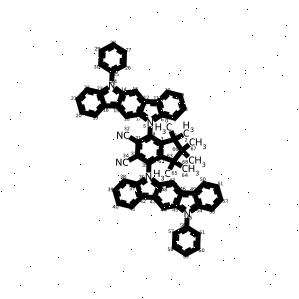 CC1(C)c2c(-n3c4ccccc4c4cc5c(cc43)c3ccccc3n5-c3ccccc3)c(C#N)c(C#N)c(-n3c4ccccc4c4cc5c(cc43)c3ccccc3n5-c3ccccc3)c2C(C)(C)C1(C)C